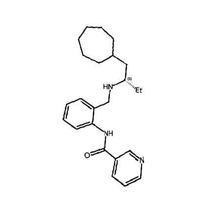 CC[C@@H](CC1CCCCCC1)NCc1ccccc1NC(=O)c1cccnc1